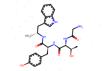 C[C@@H](O)[C@H](NC(=O)CN)C(=O)N[C@@H](Cc1ccc(O)cc1)C(=O)N[C@@H](Cc1c[nH]c2ccccc12)C(=O)O